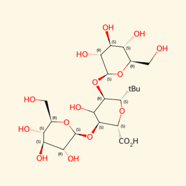 CC(C)(C)[C@@H]1O[C@H](C(=O)O)[C@@H](O[C@@H]2O[C@H](CO)[C@@H](O)[C@H](O)[C@H]2O)C(O)[C@H]1O[C@@H]1O[C@H](CO)[C@@H](O)[C@H](O)[C@H]1O